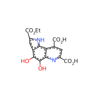 CCOC(=O)c1cc2c(O)c(O)c3nc(C(=O)O)cc(C(=O)O)c3c2[nH]1